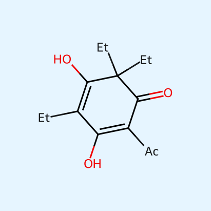 CCC1=C(O)C(CC)(CC)C(=O)C(C(C)=O)=C1O